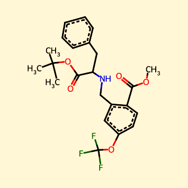 COC(=O)c1ccc(OC(F)(F)F)cc1CNC(Cc1ccccc1)C(=O)OC(C)(C)C